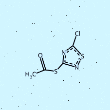 CC(=O)Sc1nsc(Cl)n1